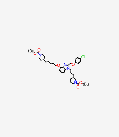 CC(C)(C)OC(=O)N1CCC(CCCCCOc2cccc3c2nc(COc2ccc(Cl)cc2)n3CCCC2CCCN(C(=O)OC(C)(C)C)C2)CC1